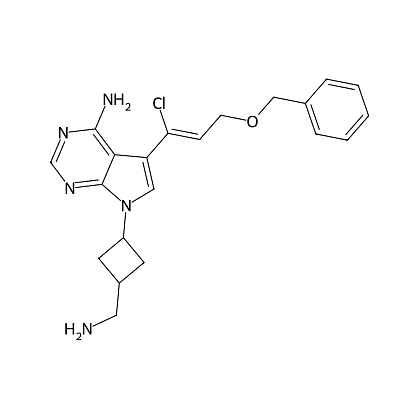 NCC1CC(n2cc(C(Cl)=CCOCc3ccccc3)c3c(N)ncnc32)C1